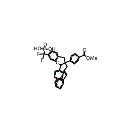 COC(=O)c1ccc(C(C/C=C/c2ccccc2)(Cc2ccc(C(F)(F)P(=O)(O)O)cc2)C(=O)c2ccc(F)cc2)cc1